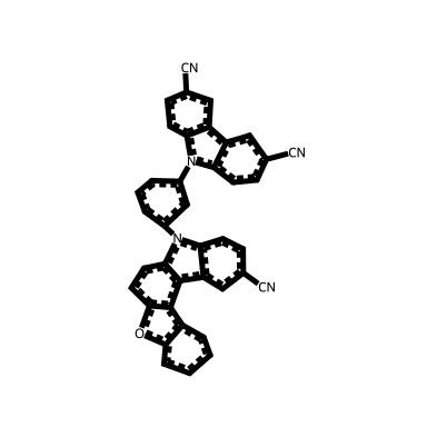 N#Cc1ccc2c(c1)c1cc(C#N)ccc1n2-c1cccc(-n2c3ccc(C#N)cc3c3c4c(ccc32)oc2ccccc24)c1